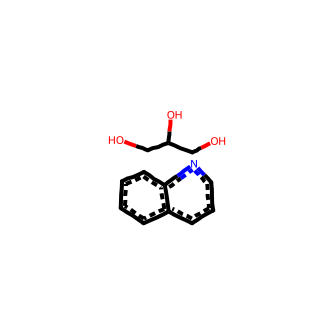 OCC(O)CO.c1ccc2ncccc2c1